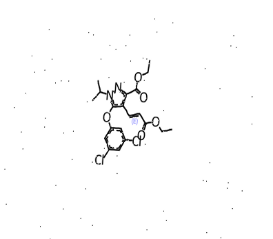 CCOC(=O)/C=C/c1c(C(=O)OCC)nn(C(C)C)c1Oc1cc(Cl)cc(Cl)c1